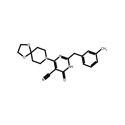 Cc1cccc(Cc2nc(N3CCC4(CC3)OCCO4)c(C#N)c(=O)[nH]2)c1